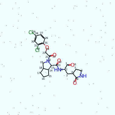 O=CC(CC1CCNC1=O)NC(=O)C1C2CCCC2CN1C(=O)COc1ccc(Cl)cc1Cl